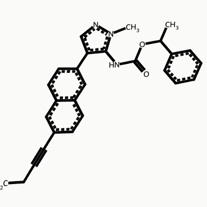 CC(OC(=O)Nc1c(-c2ccc3cc(C#CCC(=O)O)ccc3c2)cnn1C)c1ccccc1